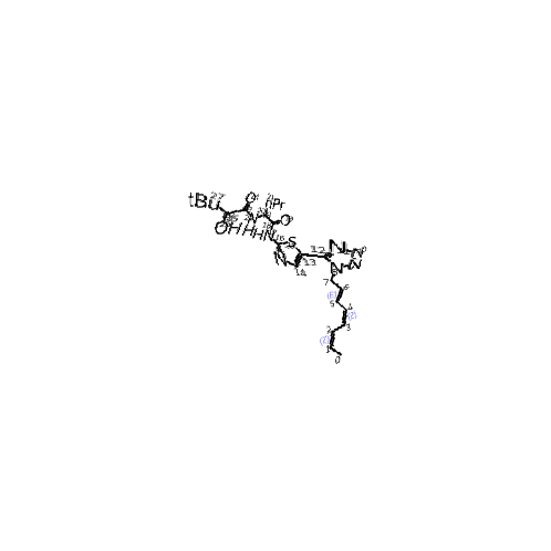 C\C=C/C=C\C=C\Cn1nnnc1-c1cnc(NC(=O)[C@H](CCC)NC(=O)[C@@H](O)C(C)(C)C)s1